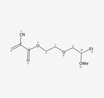 C=C(C#N)C(=O)OCCOCC(CC)OC